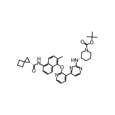 Cc1ccc2c(NC(=O)[C@H]3CC34CCC4)cccc2c1Oc1ncccc1-c1ccnc(N[C@H]2CCCN(C(=O)OC(C)(C)C)C2)n1